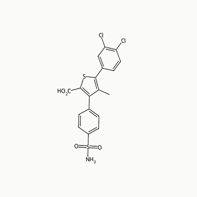 Cc1c(-c2ccc(Cl)c(Cl)c2)sc(C(=O)O)c1-c1ccc(S(N)(=O)=O)cc1